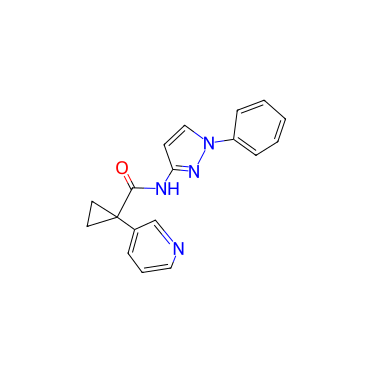 O=C(Nc1ccn(-c2ccccc2)n1)C1(c2cccnc2)CC1